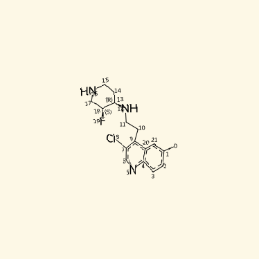 Cc1ccc2ncc(Cl)c(CCN[C@@H]3CCNC[C@@H]3F)c2c1